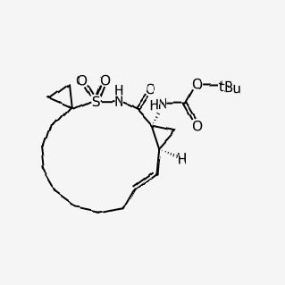 CC(C)(C)OC(=O)N[C@]12C[C@H]1/C=C/CCCCCCCC1(CC1)S(=O)(=O)NC2=O